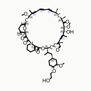 CO[C@H]1C[C@@H]2CC[C@@H](C)[C@@](O)(O2)C(=O)C(=O)N2CCCC[C@H]2C(=O)O[C@H](C(C)C[C@@H]2CC[C@@H](OCCO)[C@H](OC)C2)CC[C@@](C)(C=O)/C=C(\C)[C@@H](O)[C@@H](OC)C(=O)[C@H](C)C[C@H](C)/C=C/C=C/C=C/1C